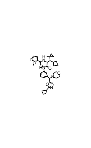 Cn1nccc1C(=O)N[C@H](C(=O)Nc1cccc(C(c2nnc(C3CCC3)o2)N2CCOCC2)c1)C(C1CCC1)C1(C)CC1